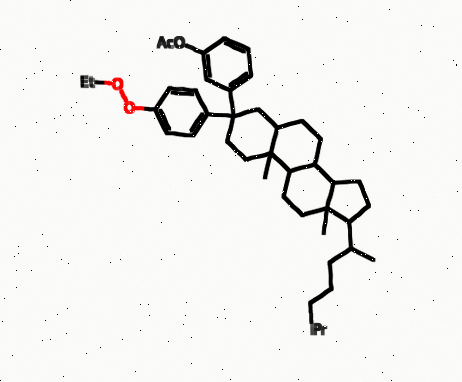 CCOOc1ccc(C2(c3cccc(OC(C)=O)c3)CCC3(C)C(CCC4C3CCC3(C)C(C(C)CCCC(C)C)CCC43)C2)cc1